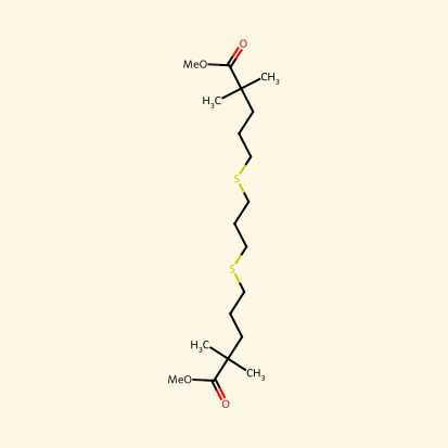 COC(=O)C(C)(C)CCCSCCCSCCCC(C)(C)C(=O)OC